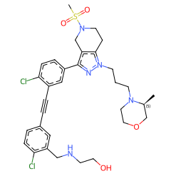 C[C@H]1COCCN1CCCn1nc(-c2ccc(Cl)c(C#Cc3ccc(Cl)c(CNCCO)c3)c2)c2c1CCN(S(C)(=O)=O)C2